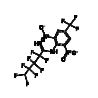 N=C(Nc1c([N+](=O)[O-])cc(C(F)(F)F)cc1[N+](=O)[O-])C(F)(F)C(F)(F)C(F)(F)C(F)F